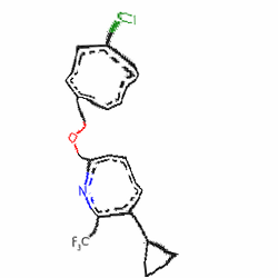 FC(F)(F)c1nc(Oc2ccc(Cl)cc2)ccc1[C]1CC1